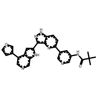 CC(C)(C)C(=O)Nc1cncc(-c2ccc3[nH]nc(-c4cc5c(-c6ccoc6)cncc5[nH]4)c3n2)c1